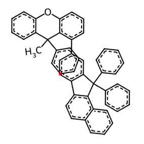 CC1(c2ccccc2)c2ccccc2Oc2cccc(-c3ccc4c(c3)C(c3ccccc3)(c3ccccc3)c3c-4ccc4ccccc34)c21